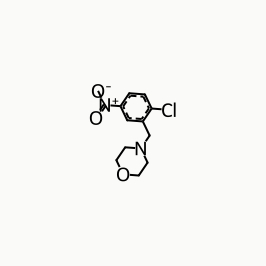 O=[N+]([O-])c1ccc(Cl)c(CN2CCOCC2)c1